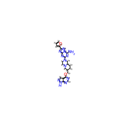 Nc1nc(N2CCN3CC(COc4ncnc5[nH]ncc45)CCC3C2)nc2nc(-c3ccco3)nn12